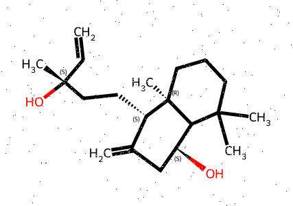 C=C[C@@](C)(O)CC[C@H]1C(=C)C[C@H](O)C2C(C)(C)CCC[C@@]21C